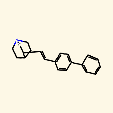 C(=C\C1CN2CCC1CC2)/c1ccc(-c2ccccc2)cc1